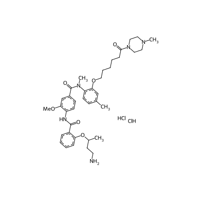 COc1cc(C(=O)N(C)c2ccc(C)cc2OCCCCCC(=O)N2CCN(C)CC2)ccc1NC(=O)c1ccccc1OC(C)CCN.Cl.Cl